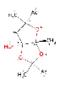 CC(=O)[C@@]1(C)O[C@@]2(C)O[C@@](C)(C(C)=O)C[C@]2(O)O1